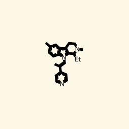 CCC1c2c(c3cc(C)ccc3n2/C=C(\C)c2ccncc2)CCN1C